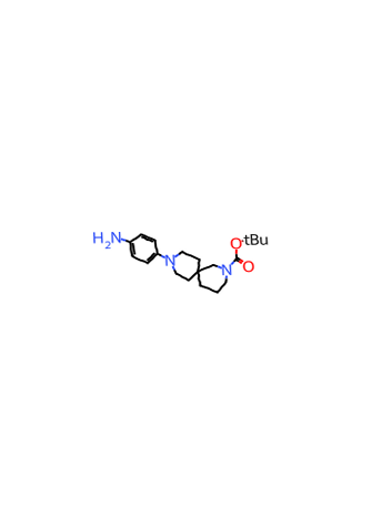 CC(C)(C)OC(=O)N1CCCC2(CCN(c3ccc(N)cc3)CC2)C1